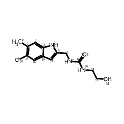 Cc1cc2[nH]c(CNC(=O)NCCO)cc2cc1Cl